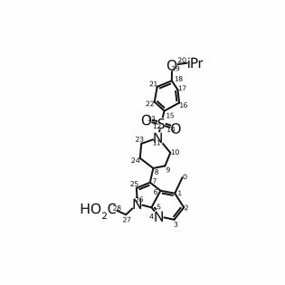 Cc1ccnc2c1c(C1CCN(S(=O)(=O)c3ccc(OC(C)C)cc3)CC1)cn2CC(=O)O